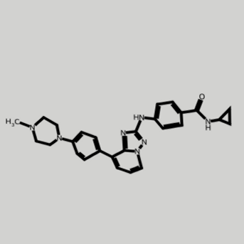 CN1CCN(c2ccc(-c3cccn4nc(Nc5ccc(C(=O)NC6CC6)cc5)nc34)cc2)CC1